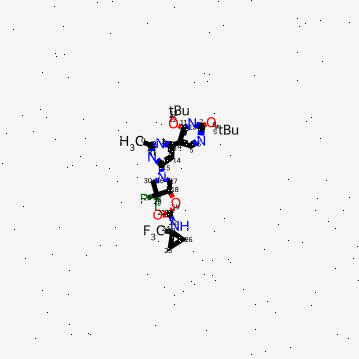 Cc1nc(-c2cnc(OC(C)(C)C)nc2OC(C)(C)C)cc(N2CC(OC(=O)NC3(C(F)(F)F)CC3)C(F)(F)C2)n1